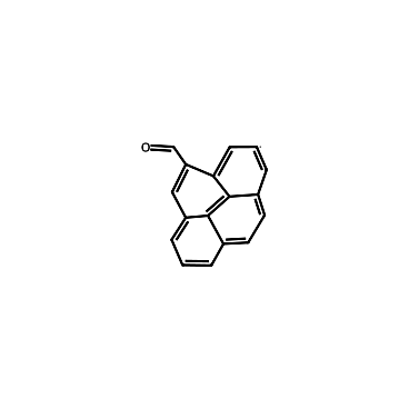 O=Cc1cc2cccc3ccc4c[c]cc1c4c32